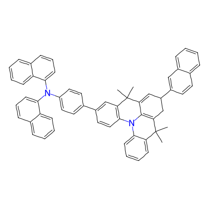 CC1(C)C2=CC(c3ccc4ccccc4c3)CC3=C2N(c2ccc(-c4ccc(N(c5cccc6ccccc56)c5cccc6ccccc56)cc4)cc21)c1ccccc1C3(C)C